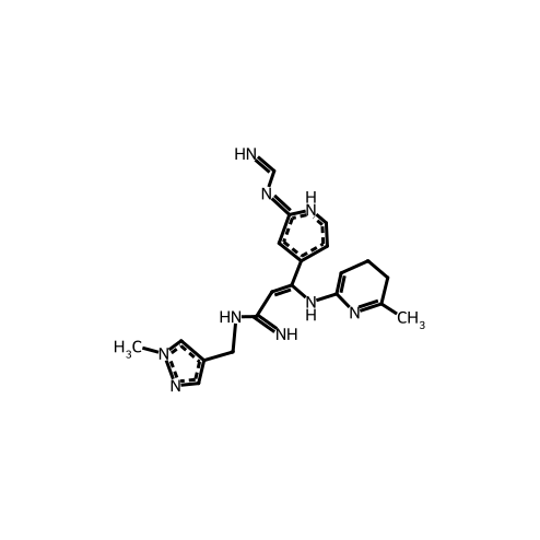 CC1=NC(N/C(=C\C(=N)NCc2cnn(C)c2)c2cc[nH]/c(=N\C=N)c2)=CCC1